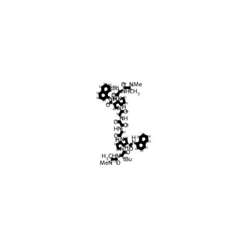 CN[C@@H](C)C(=O)N[C@H](C(=O)N1CC[C@@H]2[C@H]1[C@@H](C(=O)Nc1cccc3ccccc13)CN2C(=O)CNC(=O)C(=O)NCC(=O)N1C[C@H](C(=O)Nc2cccc3ccccc23)[C@@H]2[C@H]1CCN2C(=O)[C@@H](NC(=O)[C@H](C)NC)C(C)(C)C)C(C)(C)C